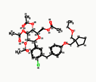 CCOCC1(COc2ccc(Cc3cc([C@@H]4O[C@H](COC(C)=O)[C@@H](OC(C)=O)[C@H](OC(C)=O)[C@H]4OC(C)=O)ccc3Cl)cc2)CCCC1